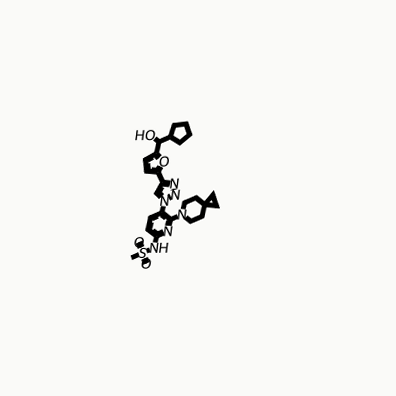 CS(=O)(=O)Nc1ccc(-n2cc(-c3ccc(C(O)C4CCCC4)o3)nn2)c(N2CCC3(CC2)CC3)n1